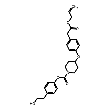 C=CCOC(=O)Cc1ccc(OC2CCN(C(=O)Oc3ccc(CCO)cc3)CC2)cc1